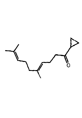 CC(C)=CCC/C(C)=C/CCC(=O)C1CC1